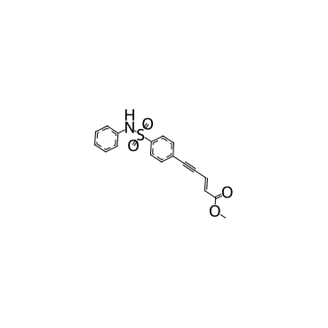 COC(=O)C=CC#Cc1ccc(S(=O)(=O)Nc2ccccc2)cc1